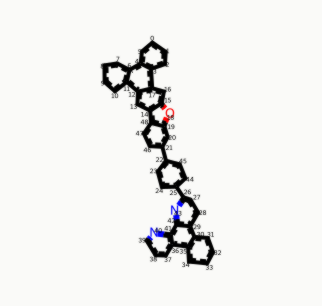 c1ccc2c(c1)c1ccccc1c1cc3c(cc21)oc1cc(-c2ccc(-c4ccc5c6ccccc6c6cccnc6c5n4)cc2)ccc13